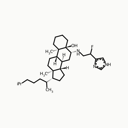 CC(C)CCCC(C)[C@H]1CC[C@H]2[C@@H]3C[C@@H](NCC(F)c4c[nH]cn4)[C@@]4(O)CCCC[C@]4(C)[C@H]3CC[C@]12C